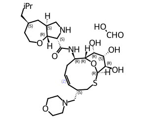 CC(C)C[C@@H]1CCO[C@@H]2[C@H](CN[C@@H]2C(=O)N[C@@H]2C/C=C\[C@@H](CN3CCOCC3)CS[C@H]3O[C@H]2[C@H](O)[C@H](O)[C@H]3O)C1.O=CO